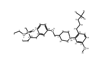 CCOP(C)(=O)[C@H](CC)Cc1cccc(OCC2CCN(c3cc(OC)ccc3CCCC(C)(C)C)CC2)c1